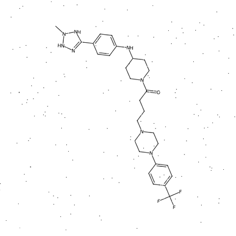 CN1NN=C(c2ccc(NC3CCN(C(=O)CCCN4CCN(c5ccc(C(F)(F)F)cc5)CC4)CC3)cc2)N1